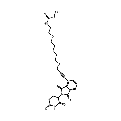 CC(C)(C)OC(=O)NCCOCCOCCOCC#Cc1cccc2c1C(=O)N(C1CCC(=O)NC1=O)C2=O